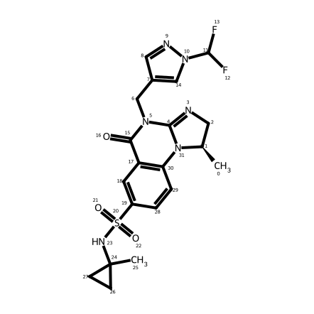 C[C@@H]1CN=C2N(Cc3cnn(C(F)F)c3)C(=O)c3cc(S(=O)(=O)NC4(C)CC4)ccc3N21